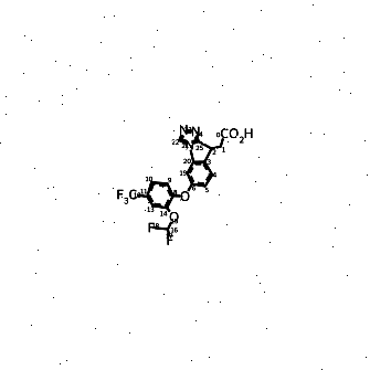 O=C(O)CC1c2ccc(Oc3ccc(C(F)(F)F)cc3OC(F)F)cc2-n2cnnc21